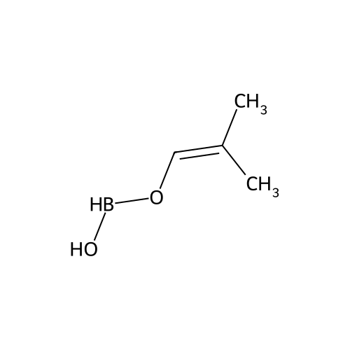 CC(C)=COBO